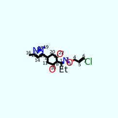 CCC(=NOCC=CCl)C1C(=O)CC(c2cc(C)nn2C)CC1=O